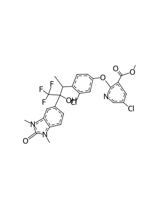 COC(=O)c1cc(Cl)cnc1Oc1ccc(C(C)C(O)(c2ccc3c(c2)n(C)c(=O)n3C)C(F)(F)F)c(Cl)c1